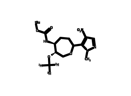 [2H]C([2H])([2H])O[C@H]1COC(c2c([N+](=O)[O-])cnn2C)CC[C@@H]1NC(=O)OC(C)(C)C